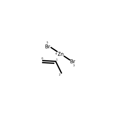 C=CC.[Br][Zn][Br]